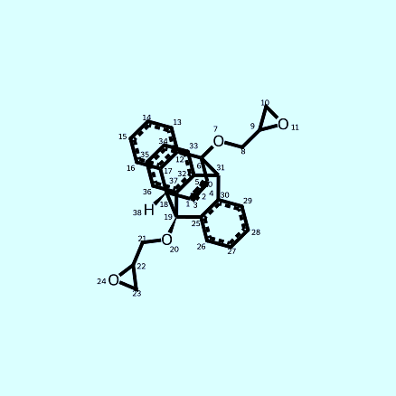 c1ccc2c(c1)C1(OCC3CO3)c3ccccc3[C@H]2[C@@]2(OCC3CO3)c3ccccc3C1c1ccccc12